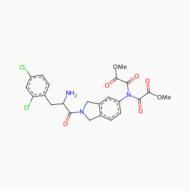 COC(=O)C(=O)N(C(=O)C(=O)OC)c1ccc2c(c1)CN(C(=O)C(N)Cc1ccc(Cl)cc1Cl)C2